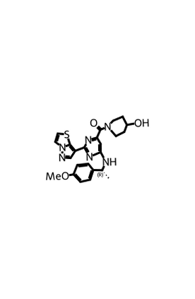 COc1ccc([C@@H](C)Nc2cc(C(=O)N3CCC(O)CC3)nc(-c3cnn4ccsc34)n2)cc1